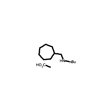 CC(=O)O.CCCCNCC1CCCCCC1